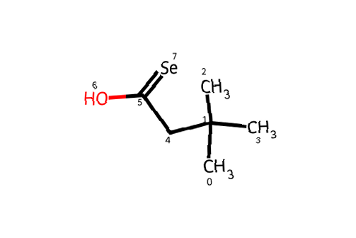 CC(C)(C)CC(O)=[Se]